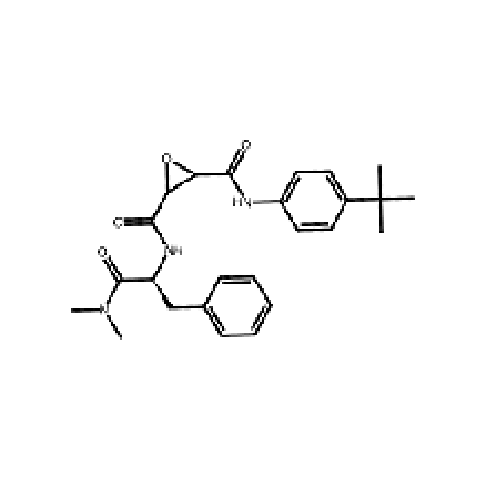 CN(C)C(=O)[C@H](Cc1ccccc1)NC(=O)C1OC1C(=O)Nc1ccc(C(C)(C)C)cc1